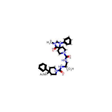 CC(=O)NC1(c2ccccc2)CCN(C(=O)NC(CNC(=O)N2CCC3(CC2)C(=O)N(C)CN3c2ccccc2)C(=O)O)CC1